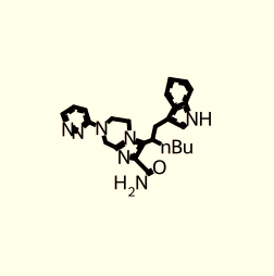 CCCCC(Cc1c[nH]c2ccccc12)c1c(C(N)=O)nc2n1CCN(c1cccnn1)C2